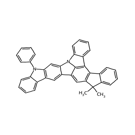 CC1(C)c2ccccc2-c2c1cc1c3cc4c5ccccc5n(-c5ccccc5)c4cc3n3c4ccccc4c2c13